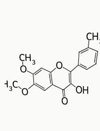 COc1cc2oc(-c3cccc(C)c3)c(O)c(=O)c2cc1OC